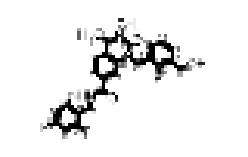 CC1c2ccc(C(=O)NCc3c(F)cc(F)cc3F)cc2N(Cc2c(F)ccc(CO)c2F)C(=O)N1C